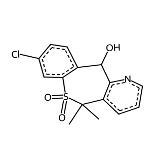 CC1(C)c2cccnc2C(O)c2ccc(Cl)cc2S1(=O)=O